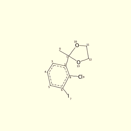 CC1(c2cccc(I)c2Cl)OCCO1